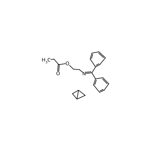 C1C2CC12.CCC(=O)OCCN=C(c1ccccc1)c1ccccc1